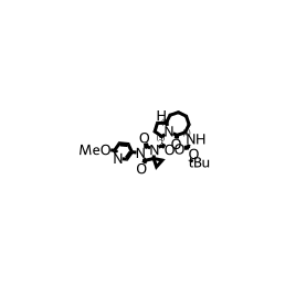 COc1ccc(N2C(=O)N(C(=O)[C@@H]3CC[C@@H]4CCCC[C@H](NC(=O)OC(C)(C)C)C(=O)N43)C3(CC3)C2=O)cn1